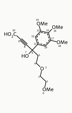 COCCOCCC(O)(C#CC(=O)O)c1cc(OC)c(OC)c(OC)c1